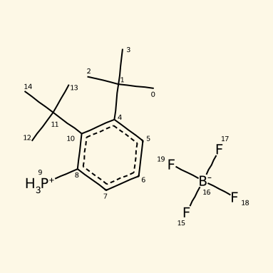 CC(C)(C)c1cccc([PH3+])c1C(C)(C)C.F[B-](F)(F)F